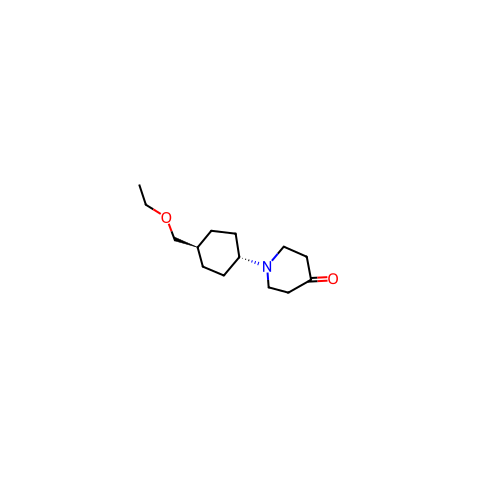 CCOC[C@H]1CC[C@H](N2CCC(=O)CC2)CC1